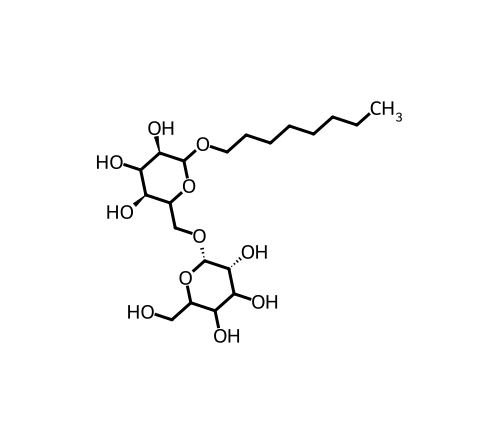 CCCCCCCCOC1OC(CO[C@H]2OC(CO)C(O)C(O)[C@H]2O)[C@@H](O)C(O)[C@H]1O